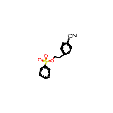 N#Cc1ccc(CCOS(=O)(=O)c2ccccc2)cc1